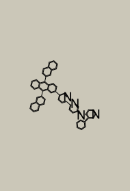 c1ccc2cc(-c3c4ccccc4c(-c4ccc5ccccc5c4)c4cc(-c5ccc(-c6ccc(-n7c8ccccc8c8cnccc87)cn6)nc5)ccc34)ccc2c1